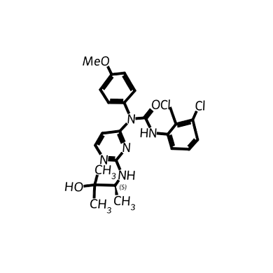 COc1ccc(N(C(=O)Nc2cccc(Cl)c2Cl)c2ccnc(N[C@@H](C)C(C)(C)O)n2)cc1